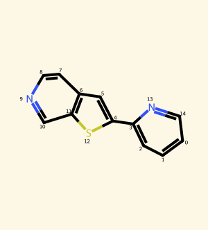 c1ccc(-c2cc3ccncc3s2)nc1